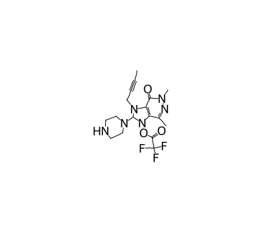 CC#CCN1c2c(c(C)nn(C)c2=O)N(OC(=O)C(F)(F)F)C1N1CCNCC1